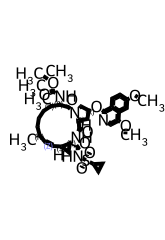 COc1ccc2c(O[C@@H]3C[C@H]4C(=O)N[C@]5(C(=O)NS(=O)(=O)C6CC6)C[C@H]5/C=C\[C@H](C)CCC[C@@H](C)[C@H](NC(=O)OC(C)(C)C)C(=O)N4C3)ncc(OC)c2c1